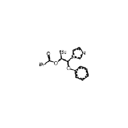 CC(C)C(=O)OC(C(Oc1ccccc1)n1ccnc1)C(C)(C)C